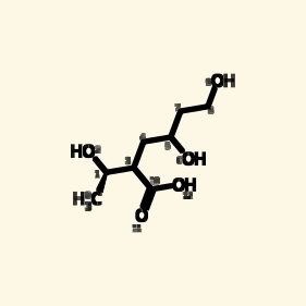 C[C@@H](O)C(CC(O)CCO)C(=O)O